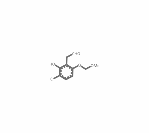 COCOc1ccc(Cl)c(O)c1CC=O